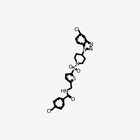 O=C(NCc1ccc(S(=O)(=O)N2CCC(n3nnc4cc(Cl)ccc43)CC2)s1)c1ccc(Cl)cc1